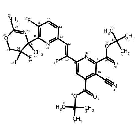 CC(C)(C)OC(=O)c1cc(C(F)=Cc2ccc(F)c(C3(C)N=C(N)OCC3(F)F)n2)nc(C(=O)OC(C)(C)C)c1C#N